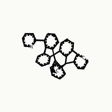 c1ccc(C23c4ccccc4-c4cccc(c42)C2(c4ccccc4-c4c(-c5ccccn5)cccc42)c2ccccc23)cc1